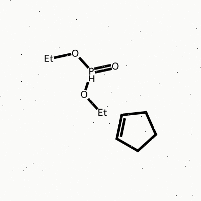 C1=CCCC1.CCO[PH](=O)OCC